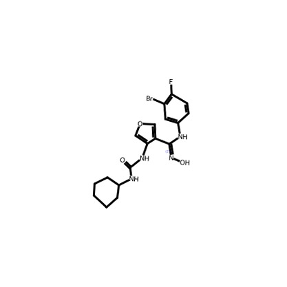 O=C(Nc1cocc1/C(=N/O)Nc1ccc(F)c(Br)c1)NC1CCCCC1